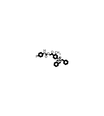 Cc1cc(S(=O)(=O)N(Cc2ccccc2)Cc2ccccc2)ccc1C(=O)COC(=O)Nc1ccc(F)cc1